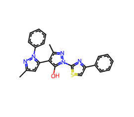 Cc1cc(-c2c(C)nn(-c3nc(-c4ccccc4)cs3)c2O)n(-c2ccccc2)n1